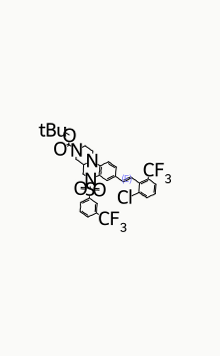 CC(C)(C)OC(=O)N1CCN2c3ccc(/C=C/c4c(Cl)cccc4C(F)(F)F)cc3N(S(=O)(=O)c3cccc(C(F)(F)F)c3)CC2C1